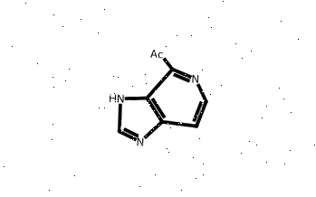 CC(=O)c1nccc2nc[nH]c12